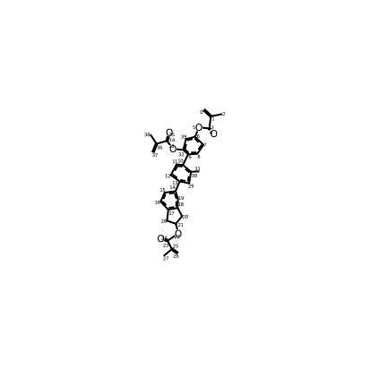 C=C(C)C(=O)Oc1ccc(-c2ccc(-c3ccc4c(c3)CC(OC(=O)C(=C)C)C4)cc2C)c(OC(=O)C(=C)C)c1